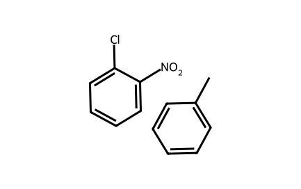 Cc1ccccc1.O=[N+]([O-])c1ccccc1Cl